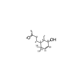 CC(=O)CCC1C(C)C(O)C=CC1(C)C